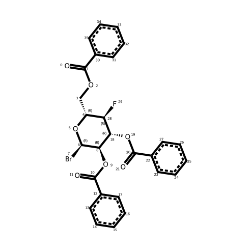 O=C(OC[C@H]1O[C@H](Br)[C@H](OC(=O)c2ccccc2)[C@@H](OC(=O)c2ccccc2)[C@@H]1F)c1ccccc1